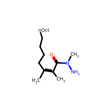 CCCCCCCCCCCCC(C)=C(C)C(=O)N(C)N